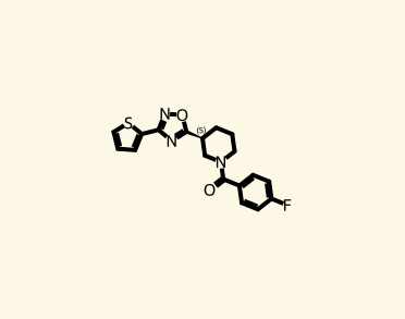 O=C(c1ccc(F)cc1)N1CCC[C@H](c2nc(-c3cccs3)no2)C1